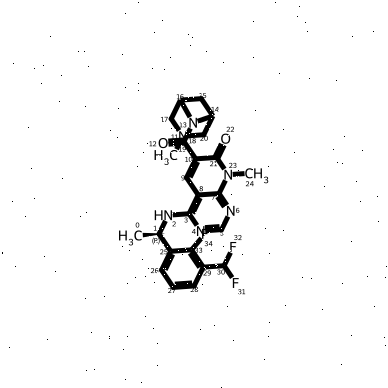 C[C@@H](Nc1ncnc2c1cc(C(=O)N1C3CC1CN(C)C3)c(=O)n2C)c1cccc(C(F)F)c1F